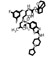 CC(C)CN(C[C@@H](O)[C@H](Cc1cc(F)cc(F)c1)NC(=O)OC1C2COC3OC1CC3C2)S(=O)(=O)c1ccc2nc(NC3CCN(C4CCCC4)CC3)sc2c1